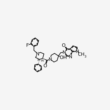 Cn1ccc2c(=O)n(CC3(O)CCN(C(=O)[C@@H]4CCN(Cc5ccccc5F)C[C@H]4c4ccccc4)CC3)cnc21